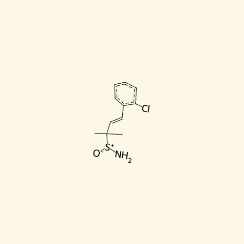 CC(C)(/C=C/c1ccccc1Cl)[S+](N)[O-]